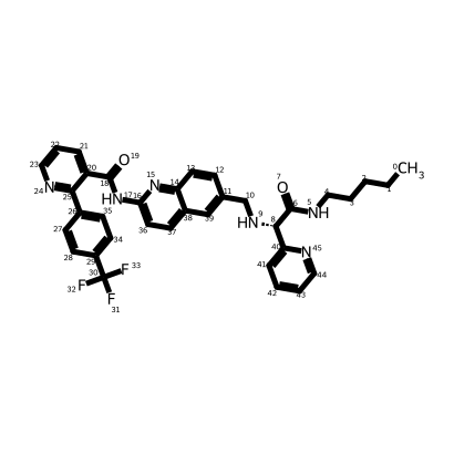 CCCCCNC(=O)[C@@H](NCc1ccc2nc(NC(=O)c3cccnc3-c3ccc(C(F)(F)F)cc3)ccc2c1)c1ccccn1